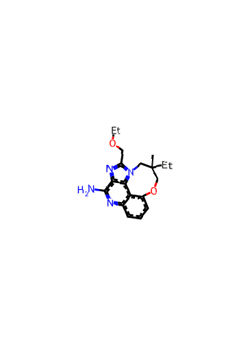 CCOCc1nc2c(N)nc3cccc4c3c2n1CC(C)(CC)CO4